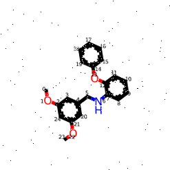 COc1cc(CNc2ccccc2Oc2ccccc2)cc(OC)c1